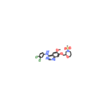 COc1cc2c(Nc3ccc(Cl)c(Cl)c3)ncnc2cc1OCC1CN(S(C)(=O)=O)CCCO1